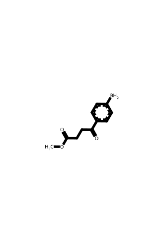 Bc1ccc(C(=O)CCC(=O)OC)cc1